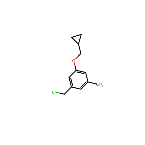 Cc1cc(CCl)cc(OCC2CC2)c1